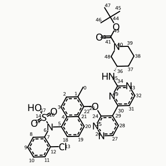 Cc1ccc2c(N(c3ccccc3Cl)S(=O)(=O)O)cccc2c1Oc1nnccc1-c1ccnc(N[C@H]2CCCN(C(=O)OC(C)(C)C)C2)n1